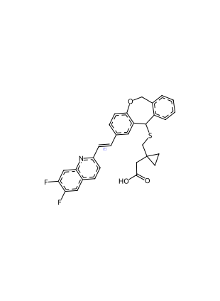 O=C(O)CC1(CSC2c3ccccc3COc3ccc(/C=C/c4ccc5cc(F)c(F)cc5n4)cc32)CC1